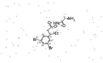 CCC(CC(=O)ONC(=O)CN)c1cc(Br)cc(Br)c1